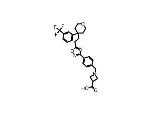 O=C(O)C1CN(Cc2ccc(-c3noc(CCC4(c5cccc(C(F)(F)F)c5)CCOCC4)n3)cc2)C1